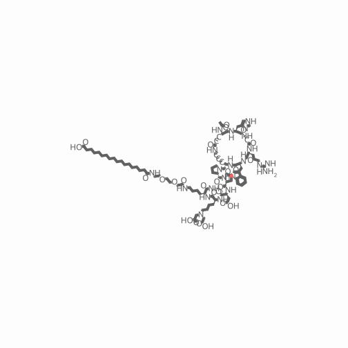 CC(=O)N[C@H]1CCC(=O)NCCC[C@@H](C(=O)N2CCC[C@H]2C(=O)N2CCC[C@H]2C(=O)N[C@@H](CC(=O)O)C(=O)N[C@@H](CCCCN(CC(=O)O)CC(=O)O)C(=O)N[C@@H](CCCCNC(=O)COCCOCCNC(=O)CCCCCCCCCCCCCCCCC(=O)O)C(N)=O)NC(=O)[C@H](Cc2c[nH]c3ccccc23)NC(=O)[C@H](CCCNC(=N)N)NC(=O)CNC(=O)[C@H](Cc2c[nH]cn2)NC1=O